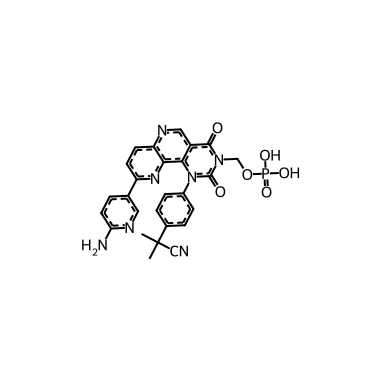 CC(C)(C#N)c1ccc(-n2c(=O)n(COP(=O)(O)O)c(=O)c3cnc4ccc(-c5ccc(N)nc5)nc4c32)cc1